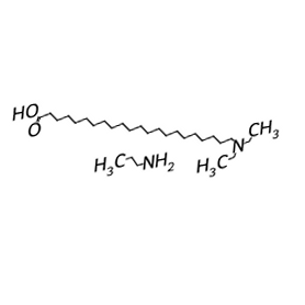 CCCN.CCN(CC)CCCCCCCCCCCCCCCCCCCCCC(=O)O